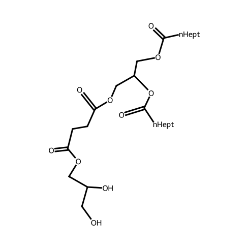 CCCCCCCC(=O)OCC(COC(=O)CCC(=O)OCC(O)CO)OC(=O)CCCCCCC